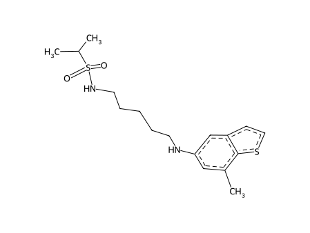 Cc1cc(NCCCCCNS(=O)(=O)C(C)C)cc2ccsc12